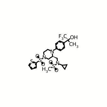 C[C@](O)(c1ccc(N2CCN(S(=O)(=O)c3cccs3)C[C@@H]2CN(C2CC2)S(C)(=O)=O)cc1)C(F)(F)F